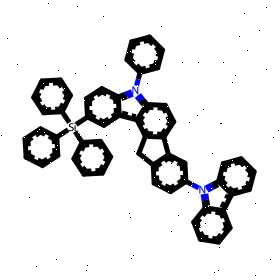 c1ccc(-n2c3ccc([Si](c4ccccc4)(c4ccccc4)c4ccccc4)cc3c3c4c(ccc32)-c2cc(-n3c5ccccc5c5ccccc53)ccc2C4)cc1